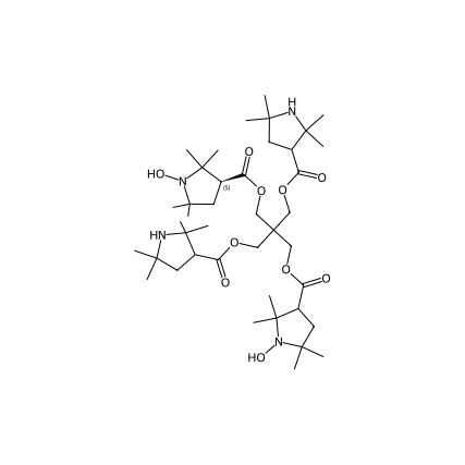 CC1(C)CC(C(=O)OCC(COC(=O)C2CC(C)(C)NC2(C)C)(COC(=O)C2CC(C)(C)N(O)C2(C)C)COC(=O)[C@H]2CC(C)(C)N(O)C2(C)C)C(C)(C)N1